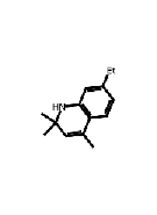 CCc1ccc2c(c1)NC(C)(C)C=C2C